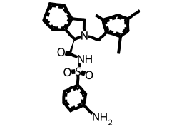 Cc1cc(C)c(CN2Cc3ccccc3[C@@H]2C(=O)NS(=O)(=O)c2cccc(N)c2)c(C)c1